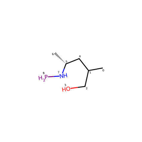 CC(CO)C[C@@H](C)NP